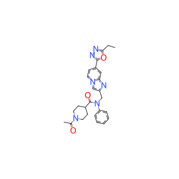 CCc1nnc(-c2ccn3cc(CN(C(=O)C4CCN(C(C)=O)CC4)c4ccccc4)nc3c2)o1